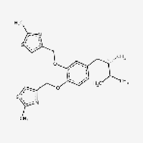 Cc1nc(COc2ccc(C[C@H](C)C(C)C)cc2OCc2csc(C)n2)cs1